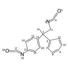 CC(CN=C=O)(c1ccccc1)c1ccc(N=C=O)cc1